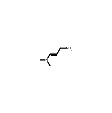 CN(C)/C=C/CN